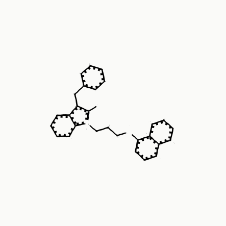 CCOC(=O)c1c(Cc2ccccc2)c2ccccc2n1CCCOc1cccc2ccccc12